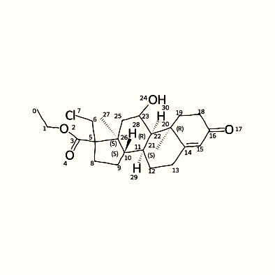 CCOC(=O)C1(CCl)CC[C@H]2[C@@H]3CCC4=CC(=O)CC[C@]4(C)[C@@H]3C(O)C[C@@]21C